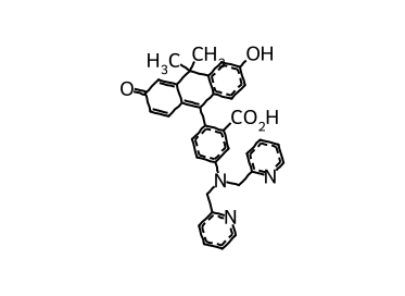 CC1(C)C2=CC(=O)C=CC2=C(c2ccc(N(Cc3ccccn3)Cc3ccccn3)cc2C(=O)O)c2ccc(O)cc21